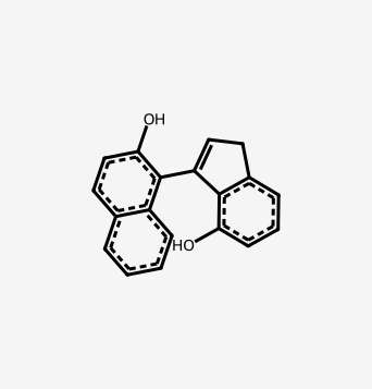 Oc1cccc2c1C(c1c(O)ccc3ccccc13)=CC2